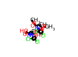 CC1(C(=O)O)CC(C(=O)O)=NN1c1ccc(Cl)cc1Cl.CCOC(=O)C1=NN(c2ccc(Cl)cc2Cl)C(C)(C(=O)OCC)C1